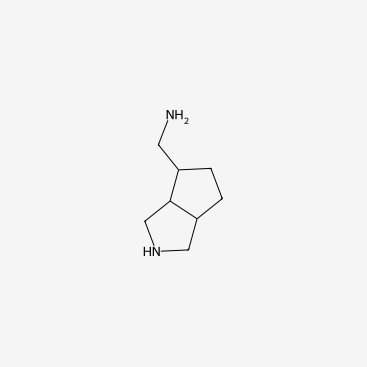 NCC1CCC2CNCC12